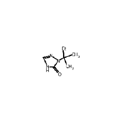 CCC(C)(C)n1nc[nH]c1=O